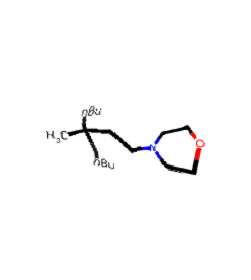 CCCCC(C)(CCCC)CCN1CCOCC1